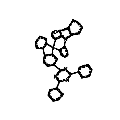 c1ccc(-c2nc(-c3ccccc3)nc(-c3ccc4c(c3)C3(c5ccccc5-4)c4ccccc4-n4c5ccccc5c5cccc3c54)n2)cc1